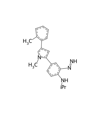 Cc1ccccc1-c1cc(-c2ccc(NC(C)C)c(N=N)c2)n(C)c1